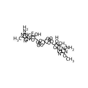 CCOc1nc(N)nc2c1ncn2[C@@H]1OC(COP2(=O)OCC3(COP(=O)(OCC4O[C@@H](n5cnc6c(C)nc(N)nc65)[C@](C)(F)[C@@H]4O)OC3)CO2)[C@@H](O)[C@@]1(C)F